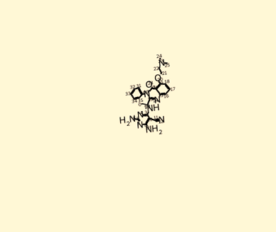 C[C@H](Nc1nc(N)nc(N)c1C#N)c1nc2cccc(OCCN(C)C)c2c(=O)n1-c1ccccc1